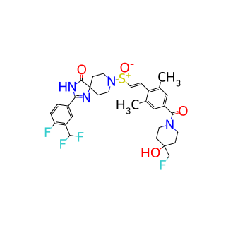 Cc1cc(C(=O)N2CCC(O)(CF)CC2)cc(C)c1/C=C/[S+]([O-])N1CCC2(CC1)N=C(c1ccc(F)c(C(F)F)c1)NC2=O